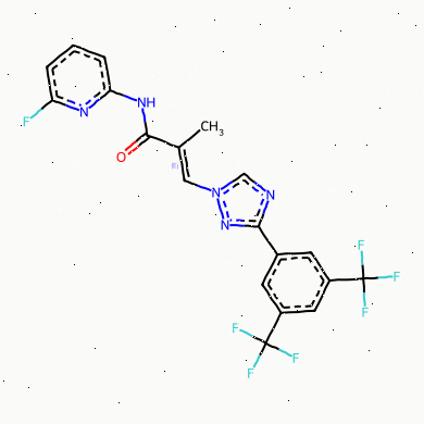 C/C(=C\n1cnc(-c2cc(C(F)(F)F)cc(C(F)(F)F)c2)n1)C(=O)Nc1cccc(F)n1